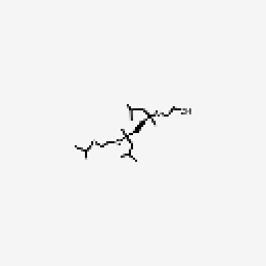 CC(C)CC(C)(C#CC(C)(CC(C)C)OCCOC(C)C)OCCO